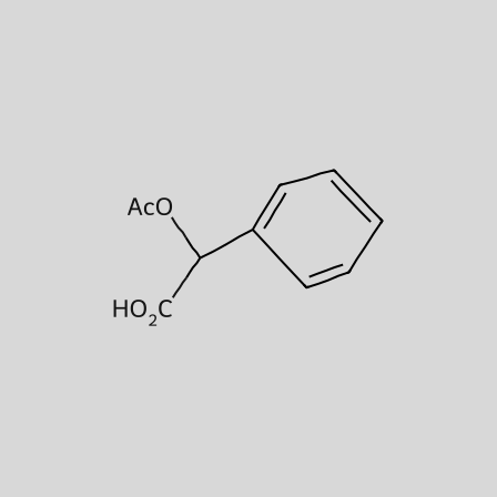 CC(=O)OC(C(=O)O)c1ccccc1